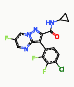 O=C(NC1CC1)c1nn2cc(F)cnc2c1-c1ccc(Cl)c(F)c1F